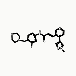 Cn1cc(-c2ccncc2/C=C/C(=O)Nc2ccc(CN3CCOCC3)c(F)c2)cn1